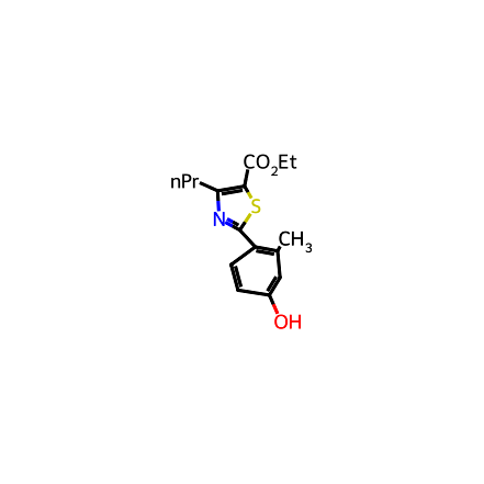 CCCc1nc(-c2ccc(O)cc2C)sc1C(=O)OCC